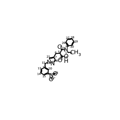 CCN(C(=O)C(Cc1cnn(Cc2cccc([N+](=O)[O-])c2)c1)C(=O)O)c1ccccc1